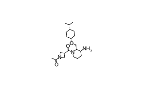 CC(=O)N1CC(C(=O)N2CCC[C@H](N)[C@@H]2CO[C@H]2CC[C@@H](C(C)C)CC2)C1